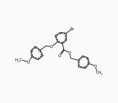 COc1ccc(COC(=O)c2cc(Br)ccc2OCc2ccc(OC)cc2)cc1